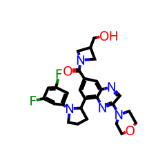 O=C(c1cc(C2CCCN2c2cc(F)cc(F)c2)c2nc(N3CCOCC3)cnc2c1)N1CC(CO)C1